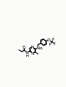 CCC(=O)Nc1cnc(NCc2ccc(OC(F)(F)F)cc2)c(C)n1